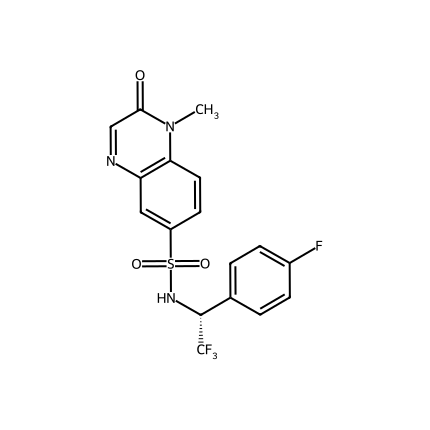 Cn1c(=O)cnc2cc(S(=O)(=O)N[C@H](c3ccc(F)cc3)C(F)(F)F)ccc21